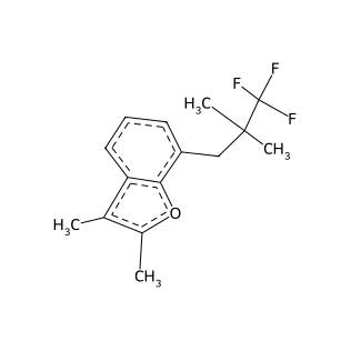 Cc1oc2c(CC(C)(C)C(F)(F)F)cccc2c1C